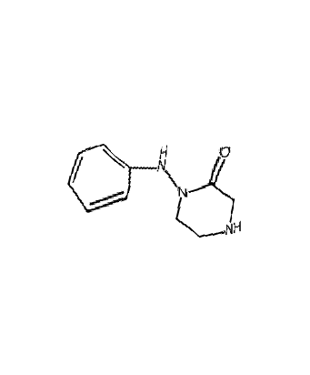 O=C1CNCCN1Nc1ccccc1